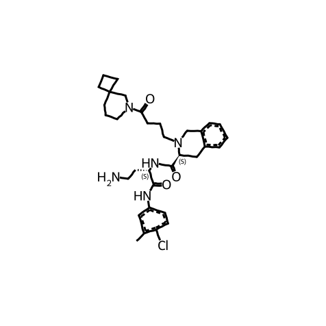 Cc1cc(NC(=O)[C@H](CCN)NC(=O)[C@@H]2Cc3ccccc3CN2CCCC(=O)N2CCCC3(CCC3)C2)ccc1Cl